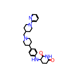 O=C1CCC(Nc2ccc(C3CCN(CC4CCN(c5ccccn5)CC4)CC3)cc2)C(=O)N1